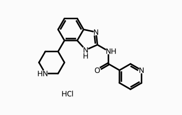 Cl.O=C(Nc1nc2cccc(C3CCNCC3)c2[nH]1)c1cccnc1